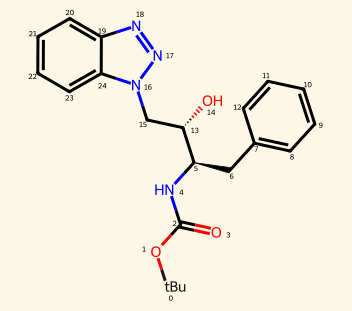 CC(C)(C)OC(=O)N[C@H](Cc1ccccc1)[C@@H](O)Cn1nnc2ccccc21